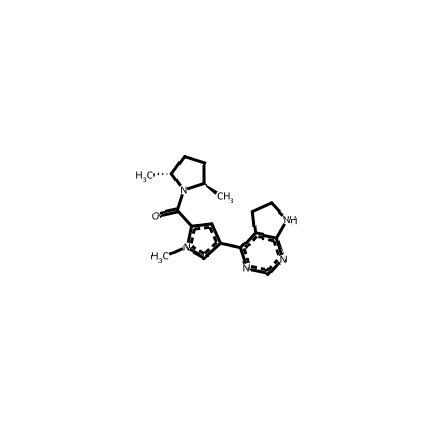 C[C@@H]1CC[C@@H](C)N1C(=O)c1cc(-c2ncnc3c2CCN3)cn1C